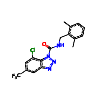 Cc1cccc(C)c1CNC(=O)n1nnc2cc(C(F)(F)F)cc(Cl)c21